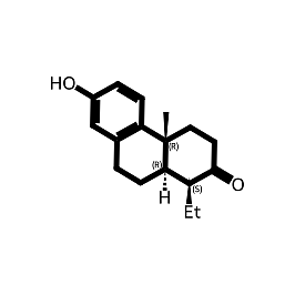 CC[C@@H]1C(=O)CC[C@@]2(C)c3ccc(O)cc3CC[C@H]12